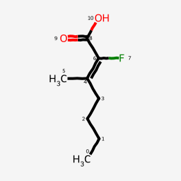 CCCC/C(C)=C(\F)C(=O)O